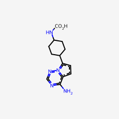 Nc1ncnn2c(C3CCC(NC(=O)O)CC3)ccc12